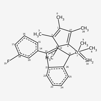 CC1=C(C)C(C)[C]([Zr]([CH3])([CH3])(=[SiH2])[CH]2C=C(c3cccc(F)c3)c3ccccc32)=C1C